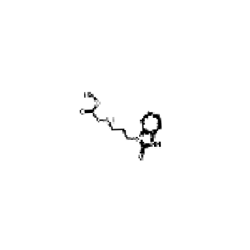 CC(C)(C)OC(=O)SNCCCn1c(=O)[nH]c2ccccc21